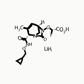 CC1=C[C@@H]2CN(C(=O)N2O[C@@H](F)C(=O)O)[C@@H]1C(=O)NOCC1CC1.[LiH]